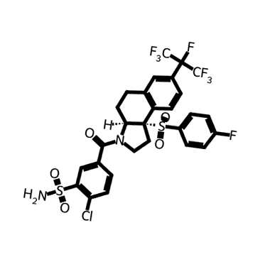 NS(=O)(=O)c1cc(C(=O)N2CC[C@]3(S(=O)(=O)c4ccc(F)cc4)c4ccc(C(F)(C(F)(F)F)C(F)(F)F)cc4CC[C@H]23)ccc1Cl